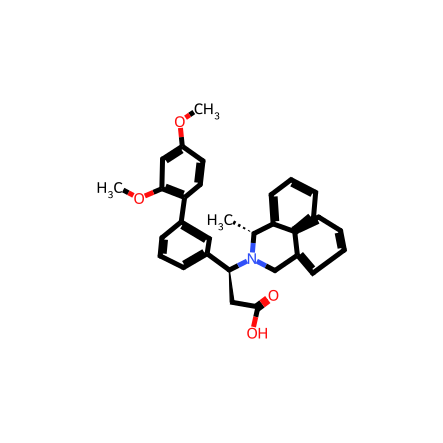 COc1ccc(-c2cccc([C@H](CC(=O)O)N(Cc3ccccc3)[C@H](C)c3ccccc3)c2)c(OC)c1